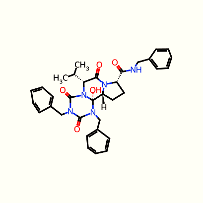 CC(C)[C@@H]1C(=O)N2[C@H](C(=O)NCc3ccccc3)CC[C@@H]2[C@@]2(O)N(Cc3ccccc3)C(=O)N(Cc3ccccc3)C(=O)N12